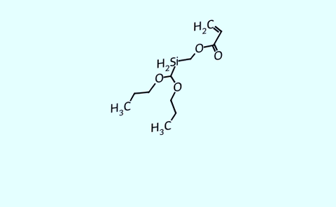 C=CC(=O)OC[SiH2]C(OCCC)OCCC